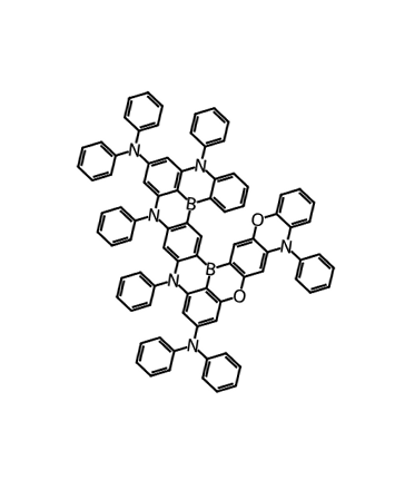 c1ccc(N(c2ccccc2)c2cc3c4c(c2)N(c2ccccc2)c2cc5c(cc2B4c2cc4c(cc2O3)N(c2ccccc2)c2ccccc2O4)B2c3ccccc3N(c3ccccc3)c3cc(N(c4ccccc4)c4ccccc4)cc(c32)N5c2ccccc2)cc1